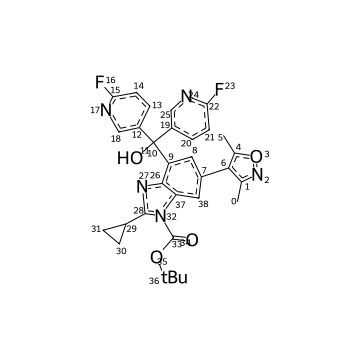 Cc1noc(C)c1-c1cc(C(O)(c2ccc(F)nc2)c2ccc(F)nc2)c2nc(C3CC3)n(C(=O)OC(C)(C)C)c2c1